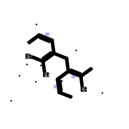 C/C=C\C(CC(/C=C\C)=C(\C)CC)=C(CC)CC